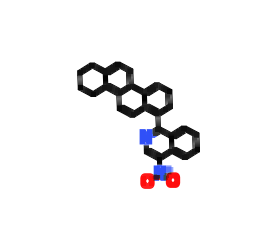 O=[N+]([O-])c1cnc(-c2cccc3c2ccc2c4c(ccc23)CCCC4)c2ccccc12